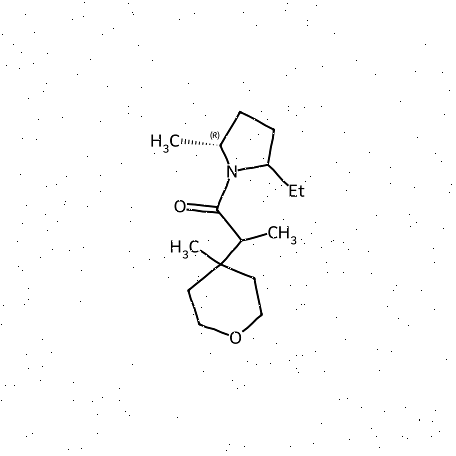 CCC1CC[C@@H](C)N1C(=O)C(C)C1(C)CCOCC1